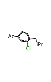 CC(=O)c1ccc(CC(C)C)c(Cl)c1